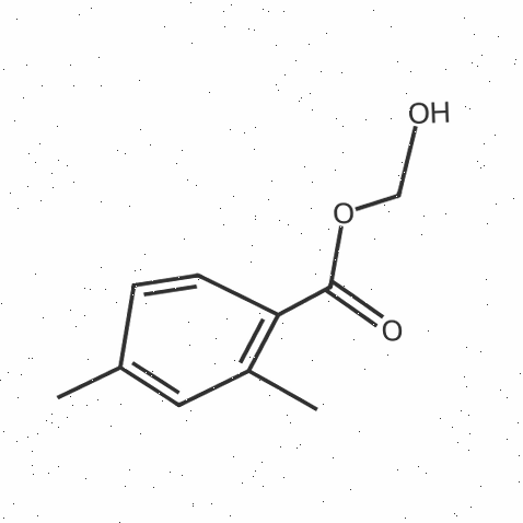 Cc1ccc(C(=O)OCO)c(C)c1